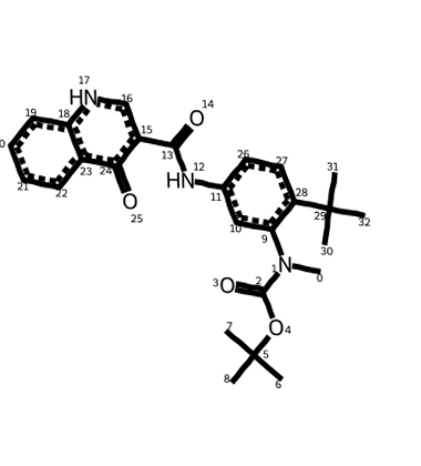 CN(C(=O)OC(C)(C)C)c1cc(NC(=O)c2c[nH]c3ccccc3c2=O)ccc1C(C)(C)C